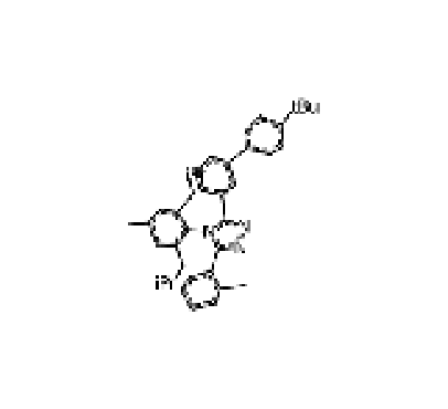 Cc1cc(CC(C)C)c(-n2c(-c3cccc(-c4ccc(C(C)(C)C)cc4)c3)nnc2-c2ccccc2C)c(CC(C)C)c1